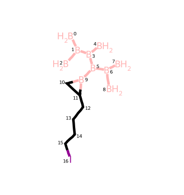 BB(B)B(B)B(B(B)B)B1CC1CCCCI